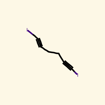 IC#C[CH]CC#CI